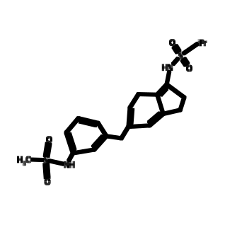 CC(C)S(=O)(=O)NC1=C2CC=C(Cc3cccc(NS(C)(=O)=O)c3)C=C2CC1